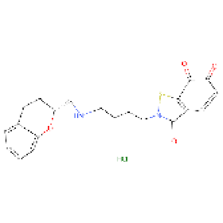 Cl.O=C1C=Cc2c(sn(CCCCNC[C@H]3CCc4ccccc4O3)c2=O)C1=O